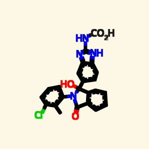 Cc1c(Cl)cccc1N1C(=O)c2ccccc2C1(O)c1ccc2[nH]c(NC(=O)O)nc2c1